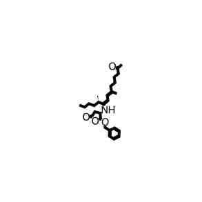 CCCC[C@H](C)/C(=C\C=C(/C)CCCCC(C)=O)N[C@H]1CC(=O)OC1OCc1ccccc1